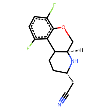 N#CC[C@@H]1CCC2c3c(F)ccc(F)c3OC[C@H]2N1